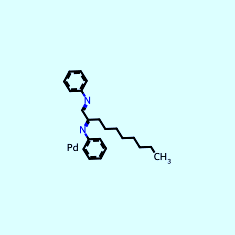 CCCCCCCCC(/C=N/c1ccccc1)=N\c1ccccc1.[Pd]